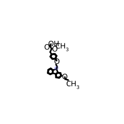 CCCOc1ccc2c(c1)/C(=C/COc1ccc(CC(OCC)C(=O)O)cc1)c1ccccc1-2